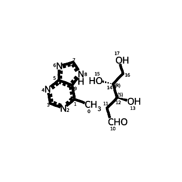 Cc1ncnc2nc[nH]c12.O=CC[C@H](O)[C@H](O)CO